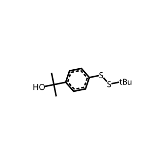 CC(C)(C)SSc1ccc(C(C)(C)O)cc1